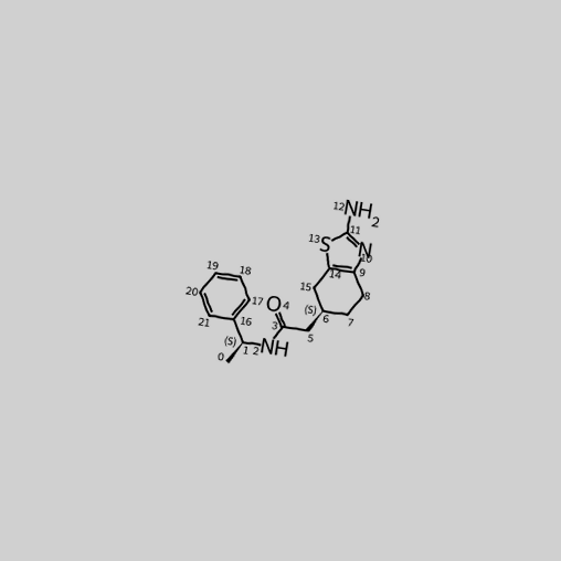 C[C@H](NC(=O)C[C@@H]1CCc2nc(N)sc2C1)c1ccccc1